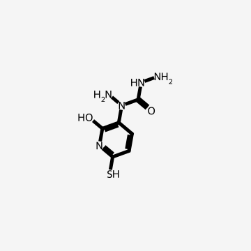 NNC(=O)N(N)c1ccc(S)nc1O